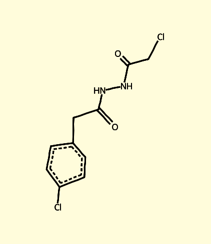 O=C(CCl)NNC(=O)Cc1ccc(Cl)cc1